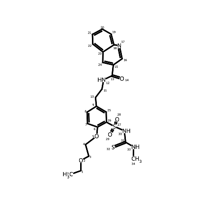 CCOCCOc1ccc(CCNC(=O)c2cnc3ccccc3c2)cc1S(=O)(=O)NC(=S)NC